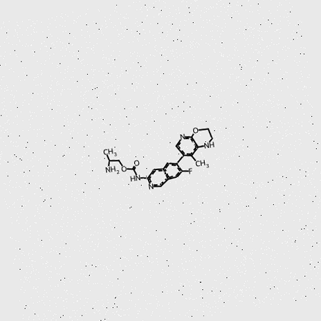 Cc1c(-c2cc3cc(NC(=O)OCC(C)N)ncc3cc2F)cnc2c1NCCO2